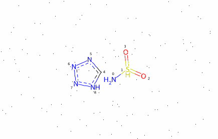 N[SH](=O)=O.c1nnn[nH]1